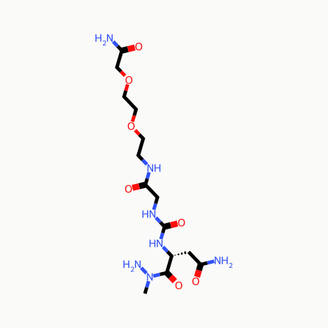 CN(N)C(=O)[C@@H](CC(N)=O)NC(=O)NCC(=O)NCCOCCOCC(N)=O